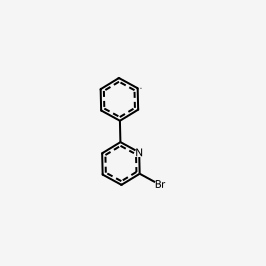 Brc1cccc(-c2c[c]ccc2)n1